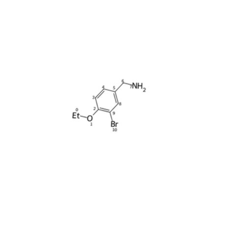 CCOc1ccc(CN)cc1Br